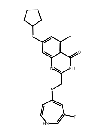 O=c1[nH]c(CSC2=CC(F)=CNC=C2)nc2cc(NC3CCCC3)cc(F)c12